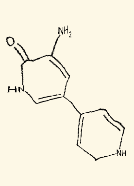 Nc1cc(C2=CCNC=C2)c[nH]c1=O